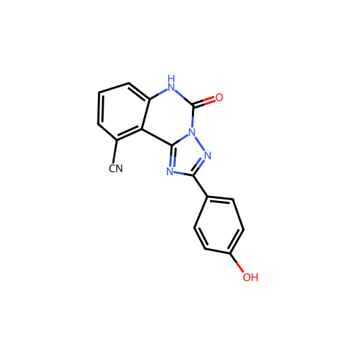 N#Cc1cccc2[nH]c(=O)n3nc(-c4ccc(O)cc4)nc3c12